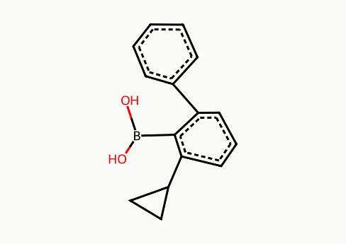 OB(O)c1c(-c2ccccc2)cccc1C1CC1